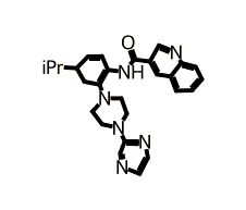 CC(C)C1C=CC(NC(=O)c2cnc3ccccc3c2)=C(N2CCN(c3cnccn3)CC2)C1